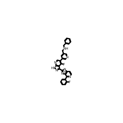 Fc1ccccc1-c1nccc2[nH]c(-c3n[nH]c4ncc(-c5cncc(CNCc6ccccc6)c5)c(F)c34)nc12